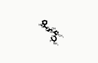 Cn1ncc(NC(O)c2csc(-c3n[nH]c4c3CCCC4)n2)c1[C@@H]1CC[C@@H](N)[C@H](F)CO1